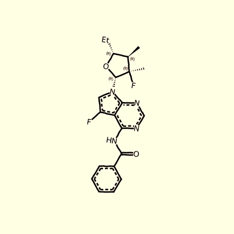 CC[C@H]1O[C@@H](n2cc(F)c3c(NC(=O)c4ccccc4)ncnc32)[C@](C)(F)[C@@H]1C